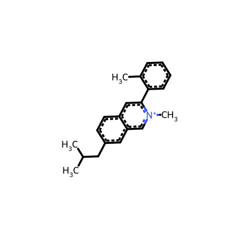 Cc1ccccc1-c1cc2ccc(CC(C)C)cc2c[n+]1C